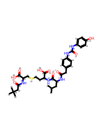 CC(C)CC(NC(=O)Cc1ccc(NC(=O)Nc2ccc(O)cc2)cc1)C(=O)NC(CCSCC(NC(=O)CC(C)(C)C)C(=O)O)C(=O)O